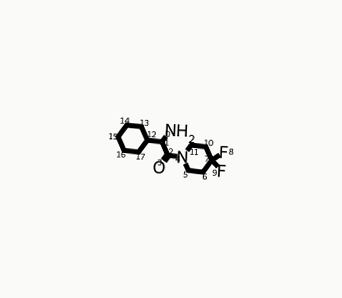 NC(C(=O)N1CCC(F)(F)CC1)C1CCCCC1